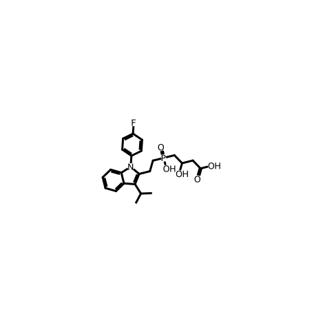 CC(C)c1c(CCP(=O)(O)CC(O)CC(=O)O)n(-c2ccc(F)cc2)c2ccccc12